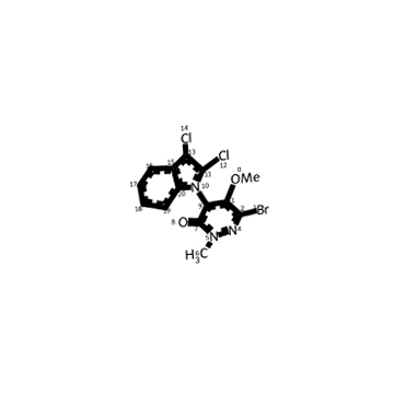 COc1c(Br)nn(C)c(=O)c1-n1c(Cl)c(Cl)c2ccccc21